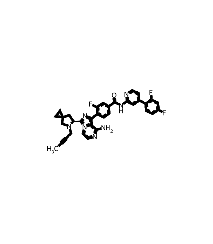 CC#CCN1CC2(CC2)C[C@H]1c1nc(-c2ccc(C(=O)Nc3cc(-c4ccc(F)cc4F)ccn3)cc2F)c2c(N)nccn12